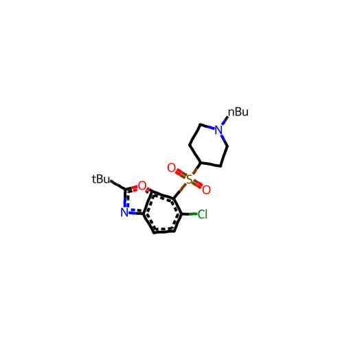 CCCCN1CCC(S(=O)(=O)c2c(Cl)ccc3nc(C(C)(C)C)oc23)CC1